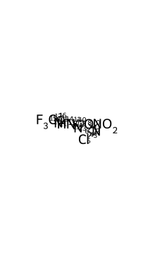 O=[N+]([O-])c1ncc(Cl)cc1Oc1ccc(NCc2ccc(C(F)(F)F)nc2)nc1